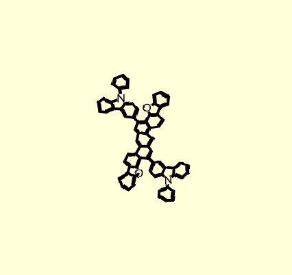 c1ccc(-n2c3ccccc3c3cc(-c4cc5cc6c(cc(-c7ccc8c(c7)c7ccccc7n8-c7ccccc7)c7c6ccc6c8ccccc8oc67)cc5c5ccc6c7ccccc7oc6c45)ccc32)cc1